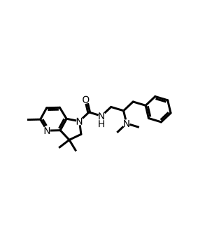 Cc1ccc2c(n1)C(C)(C)CN2C(=O)NCC(Cc1ccccc1)N(C)C